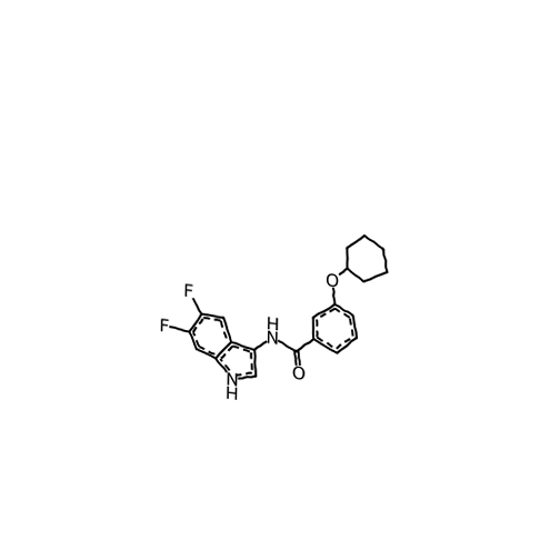 O=C(Nc1c[nH]c2cc(F)c(F)cc12)c1cccc(OC2CCCCC2)c1